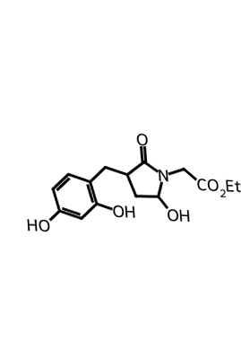 CCOC(=O)CN1C(=O)C(Cc2ccc(O)cc2O)CC1O